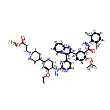 CCOC1=CC(C2CCN(CCC(=O)OS)CC2)CC=C1Nc1nccc(-c2c(-c3ccc(OC(C)C)c(C(=O)Nc4c(F)cccc4F)c3)nc3ccccn23)n1